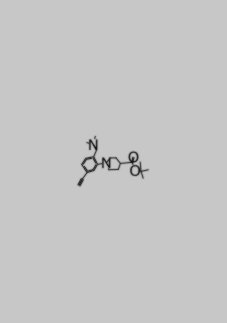 C#Cc1ccc(CN(C)C)c(N2CCC(C(=O)OC(C)(C)C)CC2)c1